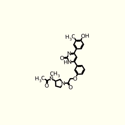 CC(=O)N(C)C1CCN(C(=O)COc2cccc(-c3cc(-c4ccc(O)c(C)c4)nc(=O)[nH]3)c2)C1